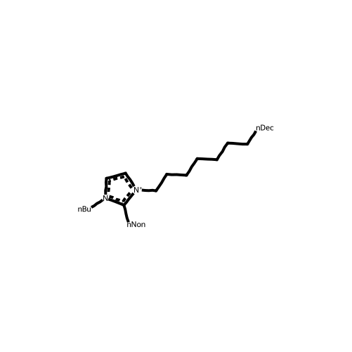 CCCCCCCCCCCCCCCCC[n+]1ccn(CCCC)c1CCCCCCCCC